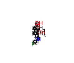 CC12Cc3cnn(-c4ccc(F)cc4)c3C=C1CCC1C2[C@@H](O)CC2(C)C(C(=O)CO)CCC12